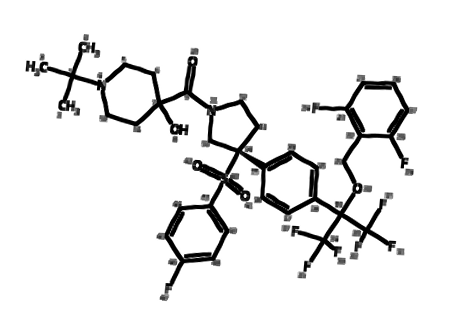 CC(C)(C)N1CCC(O)(C(=O)N2CC[C@](c3ccc(C(OCc4c(F)cccc4F)(C(F)(F)F)C(F)(F)F)cc3)(S(=O)(=O)c3ccc(F)cc3)C2)CC1